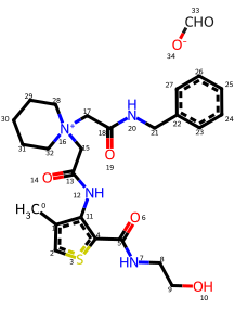 Cc1csc(C(=O)NCCO)c1NC(=O)C[N+]1(CC(=O)NCc2ccccc2)CCCCC1.O=C[O-]